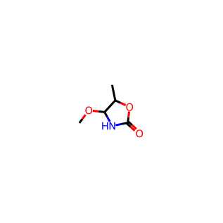 COC1NC(=O)OC1C